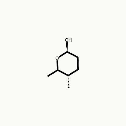 CC1O[C@@H](O)CC[C@@H]1C